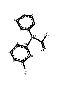 O=C(Cl)N(c1ccccc1)c1cccc(F)c1